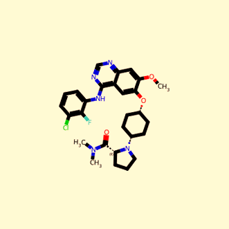 COc1cc2ncnc(Nc3cccc(Cl)c3F)c2cc1O[C@H]1CC[C@@H](N2CCC[C@@H]2C(=O)N(C)C)CC1